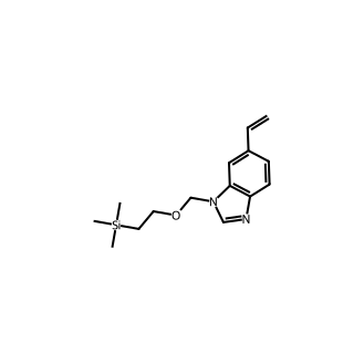 C=Cc1ccc2ncn(COCC[Si](C)(C)C)c2c1